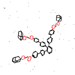 c1cc(-c2ccc(-c3ccc(OCCOC45CC6CC(CC(C6)C4)C5)cc3)cc2)c(-c2ccc(-c3ccc(OCCOC45CC6CC(CC(C6)C4)C5)cc3)cc2)c(-c2ccc(-c3ccc(OCCOC45CC6CC(CC(C6)C4)C5)cc3)cc2)c1